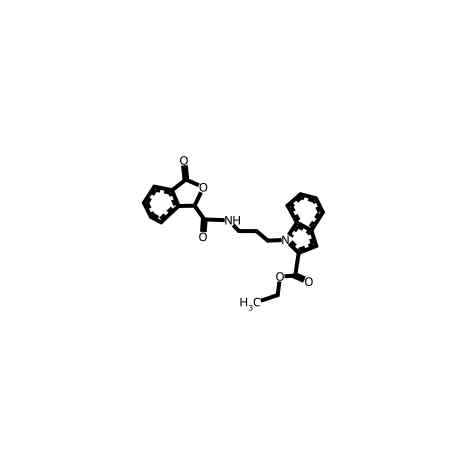 CCOC(=O)c1cc2ccccc2n1CCCNC(=O)C1OC(=O)c2ccccc21